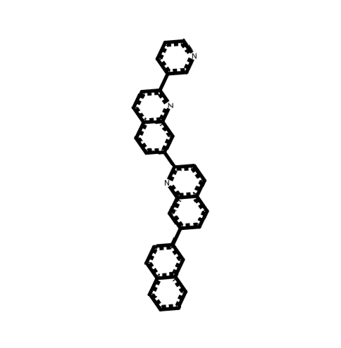 c1cncc(-c2ccc3ccc(-c4ccc5ccc(-c6ccc7ccccc7c6)cc5n4)cc3n2)c1